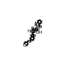 O=C(CC(CCn1nnc2ccccc2c1=O)(C(=O)O)C(=O)O)c1cc2cc(OCC3CCOCC3)ccc2o1